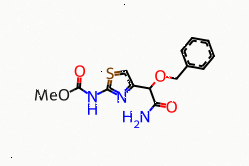 COC(=O)Nc1nc(C(OCc2ccccc2)C(N)=O)cs1